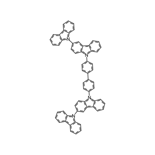 c1ccc2c(c1)c1ccccc1n2-c1ccc2c(c1)c1ccccc1n2-c1ccc(-c2ccc(-n3c4ccccc4c4cc(-n5c6ccccc6c6ccccc65)ccc43)cc2)cc1